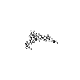 Cn1cc(-c2cnc(N)c(C(=O)N[C@H]3CCC[C@@H]3OCc3ccc(-c4ccc5c(ccn5CCN)c4)cc3)c2)cn1